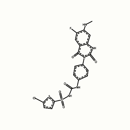 CNc1cc2[nH]c(=O)n(-c3ccc(NC(=O)NS(=O)(=O)c4ccc(Cl)s4)cc3)c(=O)c2cc1F